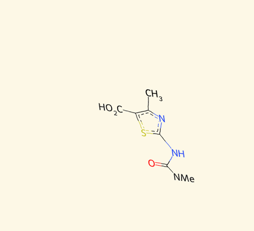 CNC(=O)Nc1nc(C)c(C(=O)O)s1